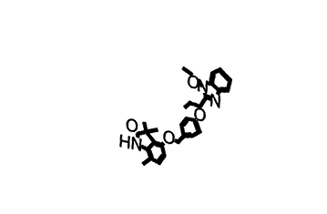 CCOn1c(C(CC)Oc2ccc(COc3ccc(C)c4c3C(C)(C)C(=O)N4)cc2)nc2ccccc21